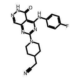 N#CCC1CCN(c2nc(Nc3ccc(F)cc3)c3c(=O)[nH]ncc3n2)CC1